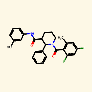 Cc1cc(F)cc(F)c1C(=O)N1CCCC(C(=O)Nc2cccc(C(C)(C)C)c2)C1c1ccccc1